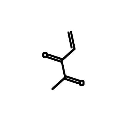 C=CC(=O)C(C)=O